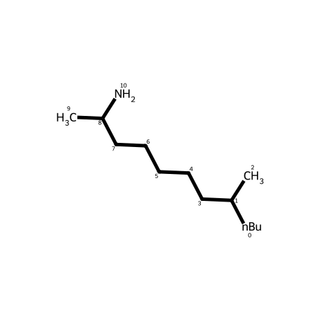 CCCCC(C)CCCCCC(C)N